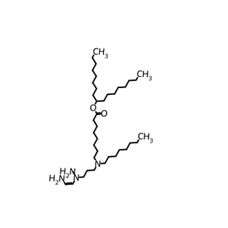 CCCCCCCCC(CCCCCCCC)OC(=O)CCCCCCCN(CCCCCCCC)CCCN(N)/C=C\N